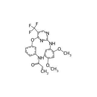 C=CC(=O)Nc1cccc(Oc2nc(Nc3ccc(OC)cc3OC)ncc2C(F)(F)F)c1